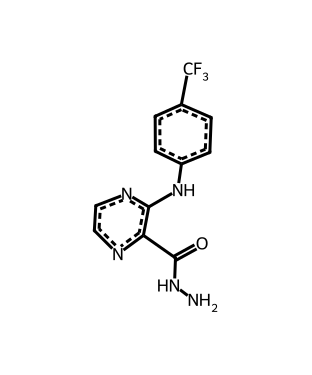 NNC(=O)c1nccnc1Nc1ccc(C(F)(F)F)cc1